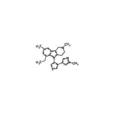 CCc1cc(C)cc2c3c(n(-c4cscc4-c4cnn(C)c4)c12)CCN(C)C3